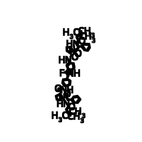 CC(C)(C)CC(=O)N[C@H](C(=O)N1CCC[C@H]1C(=O)Nc1ccc(-c2[nH]c3ccc(NC(=O)[C@@H]4CCCN4C(=O)[C@@H](NC(=O)CC(C)(C)C)c4ccccc4)cc3c2F)cc1)c1ccccc1